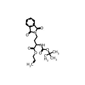 C=CCOC(=O)C(CCN1C(=O)c2ccccc2C1=O)NC(=O)OC(C)(C)C